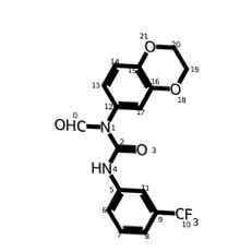 O=CN(C(=O)Nc1cccc(C(F)(F)F)c1)c1ccc2c(c1)OCCO2